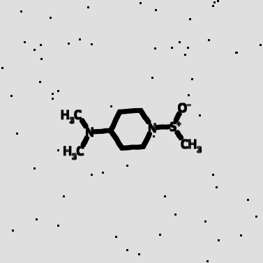 CN(C)C1CCN([S+](C)[O-])CC1